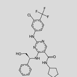 O=C(NC1CCCC1)c1cnc(Nc2ccc(C(F)(F)F)c(Cl)c2)nc1N[C@H](CO)c1ccccc1